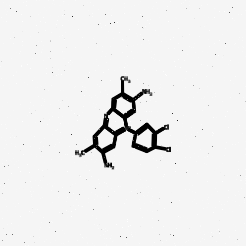 Cc1cc2nc3cc(C)c(N)cc3[n+](-c3ccc(Cl)c(Cl)c3)c2cc1N